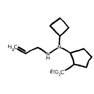 C=CCNN(C1CCC1)C1CCCC1C(=O)OCC